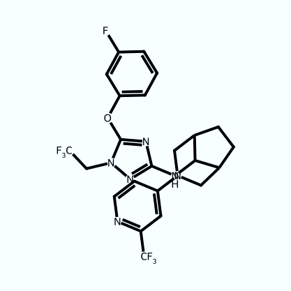 Fc1cccc(Oc2nc(NC3C4CCC3CN(c3ccnc(C(F)(F)F)c3)C4)nn2CC(F)(F)F)c1